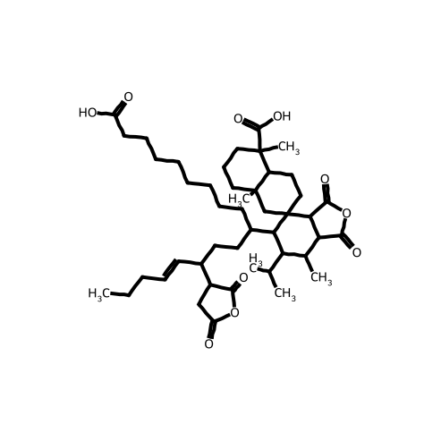 CCC/C=C/C(CCC(CCCCCCCCC(=O)O)C1C(C(C)C)C(C)C2C(=O)OC(=O)C2C12CCC1C(C)(CCCC1(C)C(=O)O)C2)C1CC(=O)OC1=O